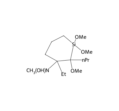 CCCC1(OC)C(CC)(N(C)O)CCC[Si]1(OC)OC